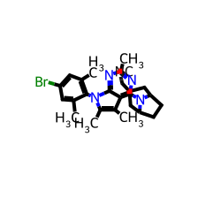 [C-]#[N+]CC1CC2CCC(C1)N2c1nc(C)nc2c1c(C)c(C)n2-c1c(C)cc(Br)cc1C